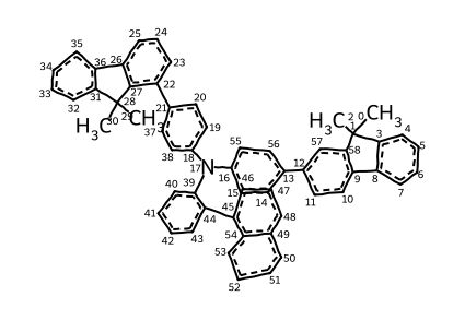 CC1(C)c2ccccc2-c2ccc(-c3ccc(N(c4ccc(-c5cccc6c5C(C)(C)c5ccccc5-6)cc4)c4ccccc4-c4cccc5ccccc45)cc3)cc21